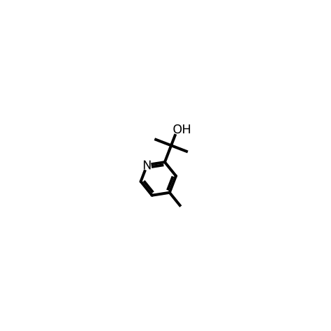 Cc1ccnc(C(C)(C)O)c1